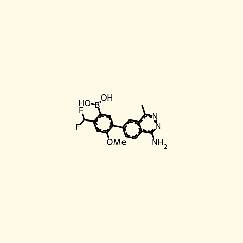 COc1cc(C(F)F)c(B(O)O)cc1-c1ccc2c(N)nnc(C)c2c1